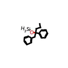 CCCC(Cc1ccccc1)(O[SiH3])c1ccccc1